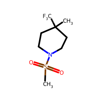 CC1(C(F)(F)F)CCN(S(C)(=O)=O)CC1